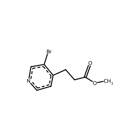 COC(=O)CCc1ccncc1Br